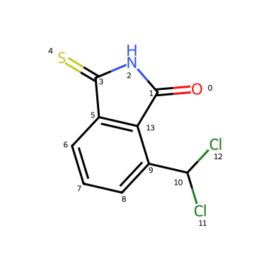 O=C1NC(=S)c2cccc(C(Cl)Cl)c21